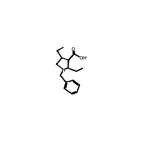 CCC1CN(Cc2ccccc2)C(CC)C1C(=O)O